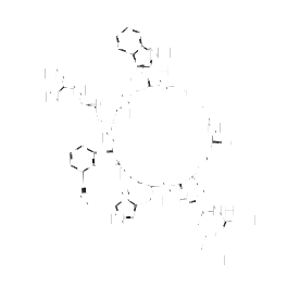 CCCC[C@H](NC(C)=O)C(=O)N[C@H]1CCC(=O)NCCCCNC(=O)[C@H](Cc2c[nH]c3ccccc23)NC(O)[C@H](CCCNC(=N)N)NC(=O)[C@@H](Cc2ccccc2C#N)NC(=O)[C@H](Cc2c[nH]cn2)NC1=O